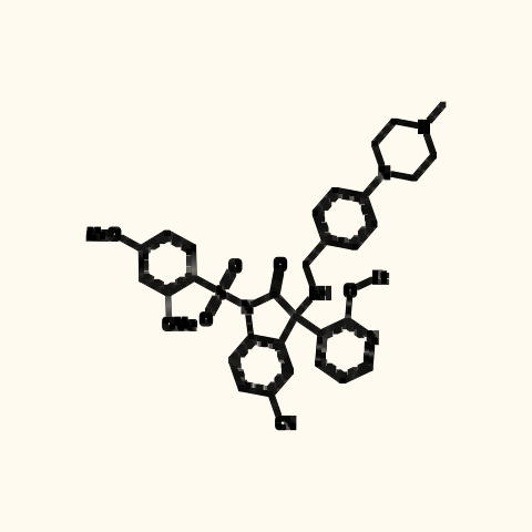 CCOc1ncccc1C1(NCc2ccc(N3CCN(C)CC3)cc2)C(=O)N(S(=O)(=O)c2ccc(OC)cc2OC)c2ccc(C#N)cc21